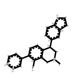 CN1Cc2c(ccc(-c3ccnnc3)c2F)C(c2ccc3sccc3c2)C1